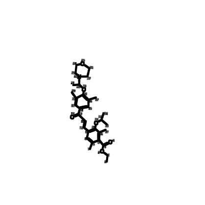 CCOC(=O)c1c(C)cc(C=CC(=O)c2cc(C)c(OC(C)N3CCOCC3)c(C)c2)c(OC(C)C)c1C